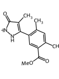 COC(=O)c1cc(-c2[nH][nH]c(=O)c2C)c(C)cc1C